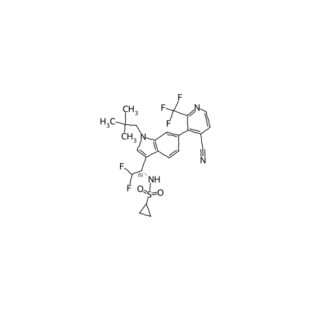 CC(C)(C)Cn1cc([C@H](NS(=O)(=O)C2CC2)C(F)F)c2ccc(-c3c(C#N)ccnc3C(F)(F)F)cc21